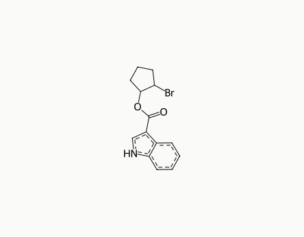 O=C(OC1CCCC1Br)c1c[nH]c2ccccc12